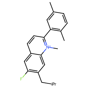 Cc1ccc(C)c(-c2ccc3cc(F)c(CC(C)C)cc3[n+]2C)c1